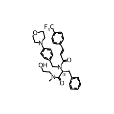 CN(CCO)C(=O)[C@H](Cc1ccccc1)N(Cc1ccc(N2CCOCC2)cc1)C(=O)C=Cc1ccc(C(F)(F)F)cc1